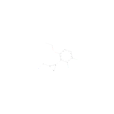 CCOc1ccc(Cl)c(F)c1C1CC1CN